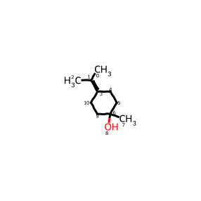 CC(C)=C1CCC(C)(O)CC1